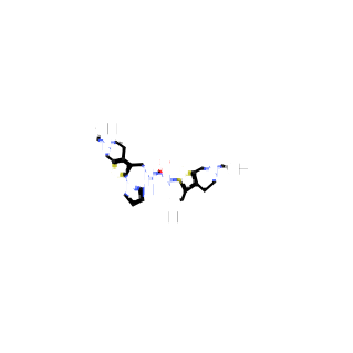 CCc1c(NC(=O)NCc2c(-n3cccc3)sc3c2CCN(CC)C3)sc2c1CCN(CC)C2